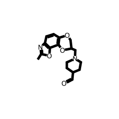 Cc1nc2ccc3c(c2o1)OC(CN1CCC(C=O)CC1)CO3